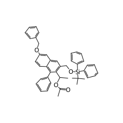 CC(=O)OC(C)c1c(CO[Si](c2ccccc2)(c2ccccc2)C(C)(C)C)cc2cc(OCc3ccccc3)ccc2c1-c1ccccc1